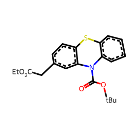 CCOC(=O)Cc1ccc2c(c1)N(C(=O)OC(C)(C)C)c1ccccc1S2